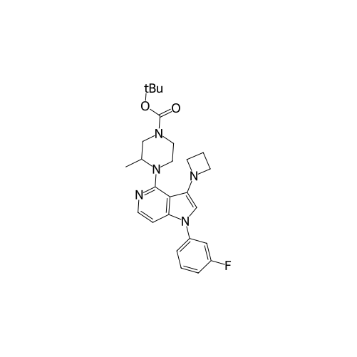 CC1CN(C(=O)OC(C)(C)C)CCN1c1nccc2c1c(N1CCC1)cn2-c1cccc(F)c1